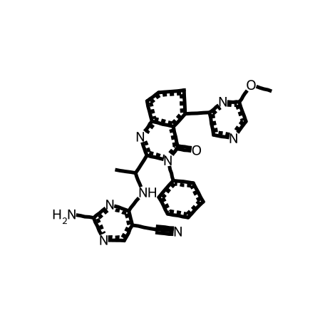 COc1cncc(-c2cccc3nc(C(C)Nc4nc(N)ncc4C#N)n(-c4ccccc4)c(=O)c23)n1